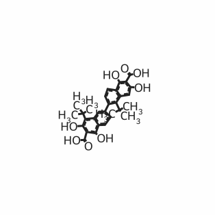 CC(C)(C)c1c(-c2ccc3c(O)c(C(=O)O)c(O)c(C(C)(C)C)c3c2)ccc2c(O)c(C(=O)O)c(O)cc12